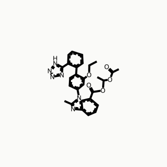 CCOc1cc(-n2c(C)nc3cccc(C(=O)OC(C)OC(C)=O)c32)ccc1-c1ccccc1-c1nnn[nH]1